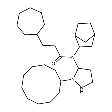 O=C(CCC1CCCCCC1)N(C1CC2CCC1C2)C1CCNN1C1CCCCCCCCC1